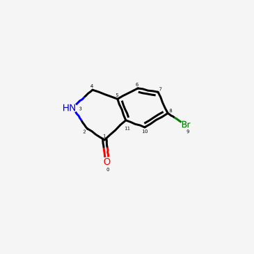 O=C1CNCc2ccc(Br)cc21